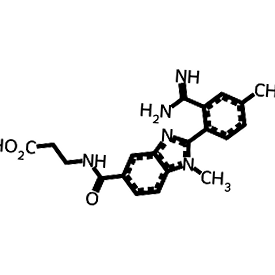 Cc1ccc(-c2nc3cc(C(=O)NCCC(=O)O)ccc3n2C)c(C(=N)N)c1